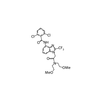 COCCN(CCOC)C(=O)Cn1c(C(F)(F)F)nc2c(NC(=O)c3c(Cl)cccc3Cl)cccc21